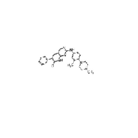 Cc1cc(Nc2ncc3cc(-c4ccccc4)c(=O)[nH]c3n2)ccc1N1CCN(C)CC1